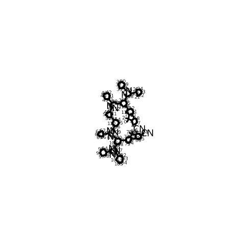 CC1(C)c2cc(C#N)ccc2-c2ccc(-c3cc(-c4cc(-c5ccccc5)nc(-c5ccccc5)n4)cc(-c4cc(-c5ccccc5)nc(-c5cccc(-c6cccc(-c7nc(-c8ccccc8)nc(-c8cc(-c9ccc%10c(c9)C(C)(C)c9cc(C#N)ccc9-%10)cc(-c9nc(-c%10ccccc%10)nc(-c%10ccccc%10)n9)c8)n7)c6)c5)n4)c3)cc21